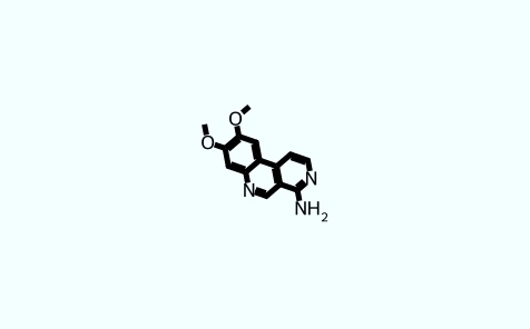 COc1cc2ncc3c(N)nccc3c2cc1OC